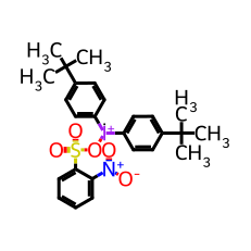 CC(C)(C)c1ccc([I+](OS(=O)(=O)c2ccccc2[N+](=O)[O-])c2ccc(C(C)(C)C)cc2)cc1